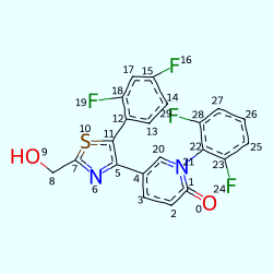 O=c1ccc(-c2nc(CO)sc2-c2ccc(F)cc2F)cn1-c1c(F)cccc1F